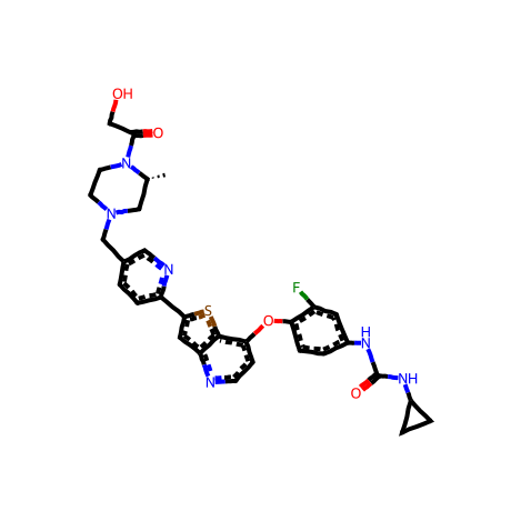 C[C@@H]1CN(Cc2ccc(-c3cc4nccc(Oc5ccc(NC(=O)NC6CC6)cc5F)c4s3)nc2)CCN1C(=O)CO